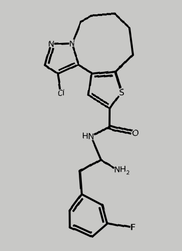 NC(Cc1cccc(F)c1)NC(=O)c1cc2c(s1)CCCCCn1ncc(Cl)c1-2